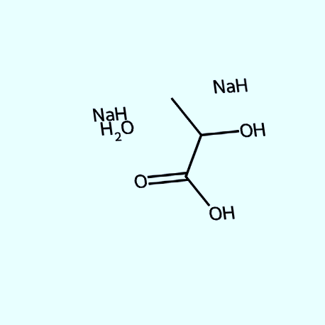 CC(O)C(=O)O.O.[NaH].[NaH]